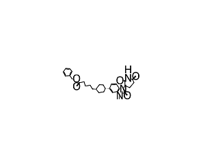 Cn1c(=O)n(C2CCC(=O)NC2=O)c2ccc([C@H]3CC[C@H](CCCCC(=O)OCc4ccccc4)CC3)cc21